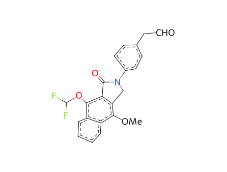 COc1c2c(c(OC(F)F)c3ccccc13)C(=O)N(c1ccc(CC=O)cc1)C2